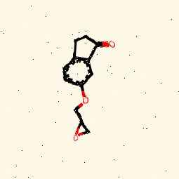 O=C1CCc2ccc(OCC3CO3)cc21